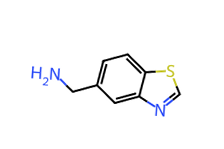 NCc1ccc2scnc2c1